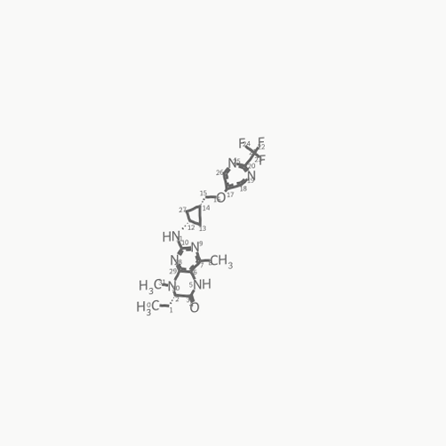 CC[C@H]1C(=O)Nc2c(C)nc(N[C@H]3C[C@@H](COc4cnc(C(F)(F)F)nc4)C3)nc2N1C